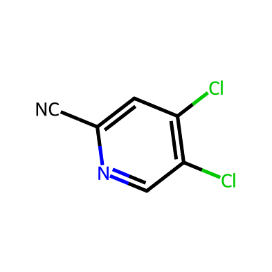 N#Cc1cc(Cl)c(Cl)cn1